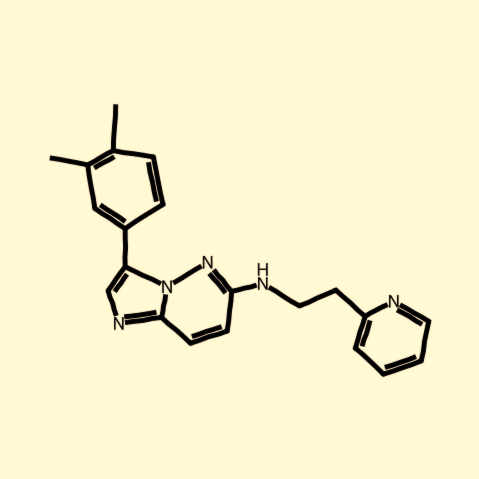 Cc1ccc(-c2cnc3ccc(NCCc4ccccn4)nn23)cc1C